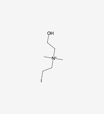 C[N+](C)(CCO)CCI